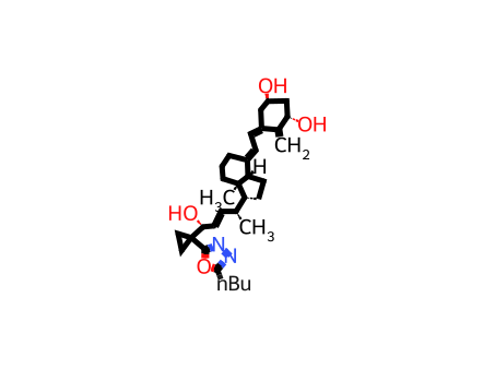 C=C1/C(=C\C=C2/CCC[C@]3(C)[C@@H]([C@H](C)/C=C/[C@@H](O)C4(c5nnc(CCCC)o5)CC4)CC[C@@H]23)C[C@@H](O)C[C@@H]1O